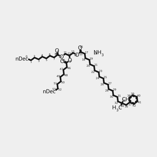 CCCCCCCCCCCCCCCCCC(=O)OCC(COC(=O)CCCCCCCCCCCCCCCCC(C)(C)Cc1ccccc1)OC(=O)CCCCCCCCCCCCCCCCC.N